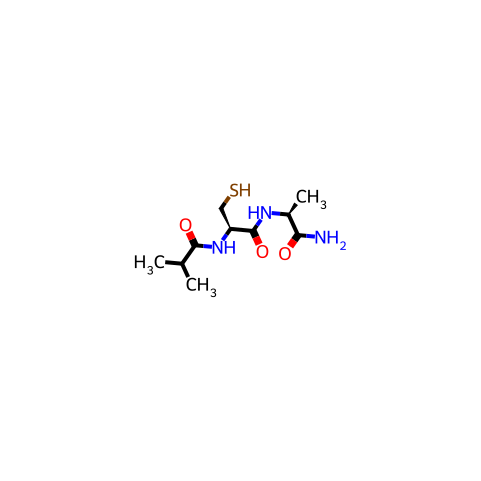 CC(C)C(=O)N[C@@H](CS)C(=O)N[C@@H](C)C(N)=O